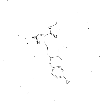 CCOC(=O)c1c[nH]nc1CCC(Cc1ccc(Br)cc1)C(C)C